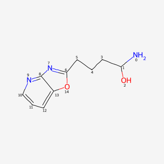 NC(O)CCCc1nc2ncccc2o1